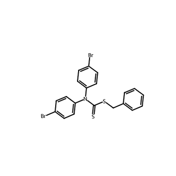 S=C(SCc1ccccc1)N(c1ccc(Br)cc1)c1ccc(Br)cc1